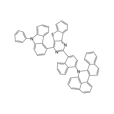 c1ccc(-n2c3ccccc3c3c(-c4nc(-c5ccc(N6c7c(ccc8ccccc78)-c7cccc8cccc6c78)c6ccccc56)nc5c4sc4ccccc45)cccc32)cc1